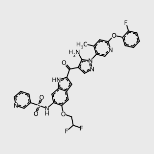 Cc1cc(Oc2ccccc2F)ncc1-n1ncc(C(=O)c2cc3cc(OCC(F)F)c(NS(=O)(=O)c4cccnc4)cc3[nH]2)c1N